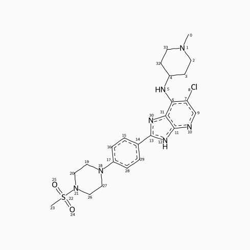 CN1CCC(Nc2c(Cl)cnc3[nH]c(-c4ccc(N5CCN(S(C)(=O)=O)CC5)cc4)nc23)CC1